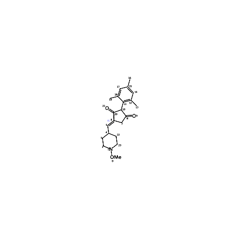 CON1CCC(/C=C2\CC(=O)C(c3c(C)cc(C)cc3C)C2=O)CC1